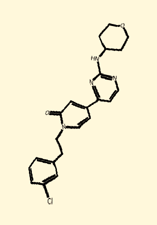 O=c1cc(-c2ccnc(NC3CCOCC3)n2)ccn1CCc1cccc(Cl)c1